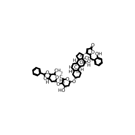 CC1O[C@@H](O[C@H]2CC[C@@]3(C)[C@H](CC[C@@H]4[C@@H]3C[C@@H](O)[C@]3(C)[C@@H](C5=CC(=O)OC5Cc5ccccc5O)CC[C@]43O)C2)C[C@@H](O)C1O[C@H]1C[C@H]2OC(c3ccccc3)OC2C(C)O1